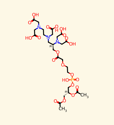 CC(=O)OC[C@H](COP(=O)(O)OCCOCC(=O)OC[C@@H](CN(CCN(CC(=O)O)CC(=O)O)CC(=O)O)N(CC(=O)O)CC(=O)O)OC(C)=O